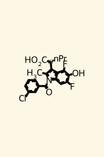 CCC[C@H](C(=O)O)c1c(C)n(C(=O)c2cccc(Cl)c2)c2cc(F)c(O)c(F)c12